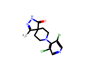 O=C1NN=C(C(F)(F)F)C12CCN(c1c(Cl)cncc1Br)CC2